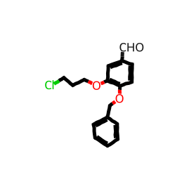 O=Cc1ccc(OCc2ccccc2)c(OCCCCl)c1